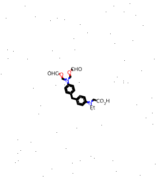 CCN(CC(=O)O)c1ccc(Cc2ccc(N(COC=O)COC=O)cc2)cc1